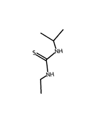 CCNC(=S)NC(C)C